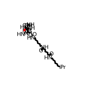 CC(C)CCCCCCNC(=O)CCCCC(=O)NCCCCCCNC(=O)OCC1NC(=N)N2CCC(O)(O)C23NC(=N)N[C@@H]13